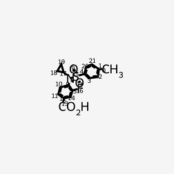 Cc1ccc(S(=O)(=O)N(c2ccc(C(=O)O)cc2F)C2CC2)cc1